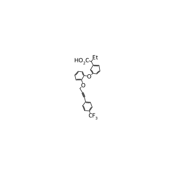 CCC(C(=O)O)c1cccc(Oc2ccccc2OCC#Cc2ccc(C(F)(F)F)cc2)c1